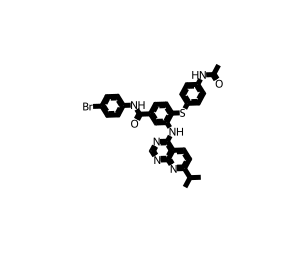 CC(=O)Nc1ccc(Sc2ccc(C(=O)Nc3ccc(Br)cc3)cc2Nc2ncnc3nc(C(C)C)ccc23)cc1